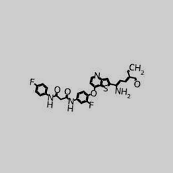 C=C/C(C=O)=C\C=C(/N)c1cc2nccc(Oc3ccc(NC(=O)CC(=O)Nc4ccc(F)cc4)cc3F)c2s1